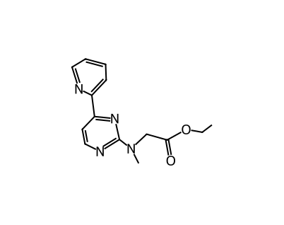 CCOC(=O)CN(C)c1nccc(-c2ccccn2)n1